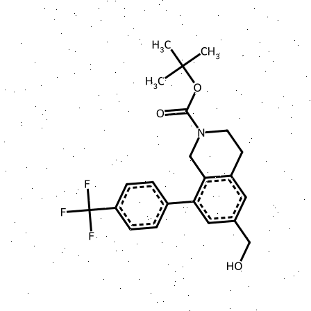 CC(C)(C)OC(=O)N1CCc2cc(CO)cc(-c3ccc(C(F)(F)F)cc3)c2C1